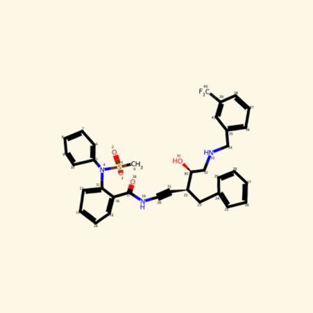 CS(=O)(=O)N(c1ccccc1)c1ccccc1C(=O)NC#C[C@H](Cc1ccccc1)[C@@H](O)CNCc1cccc(C(F)(F)F)c1